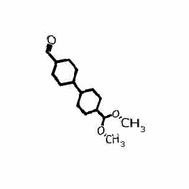 COC(OC)C1CCC(C2CCC(C=O)CC2)CC1